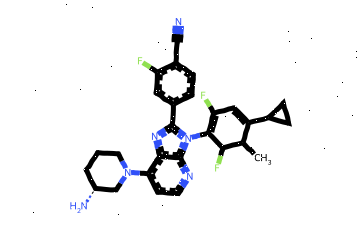 CC1C(C2CC2)=CC(F)=C(n2c(-c3ccc(C#N)c(F)c3)nc3c(N4CCC[C@@H](N)C4)ccnc32)C1F